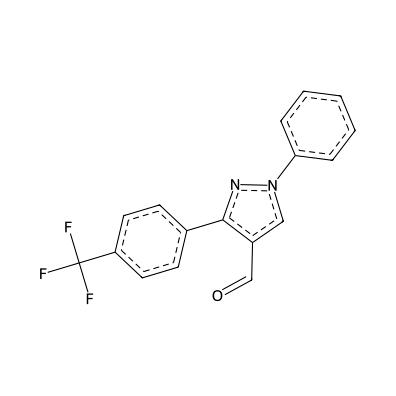 O=Cc1cn(-c2ccccc2)nc1-c1ccc(C(F)(F)F)cc1